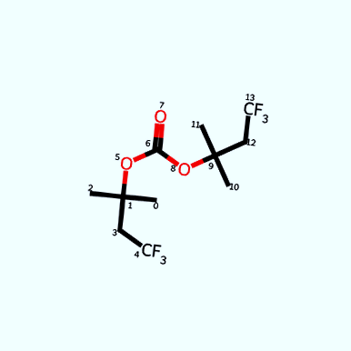 CC(C)(CC(F)(F)F)OC(=O)OC(C)(C)CC(F)(F)F